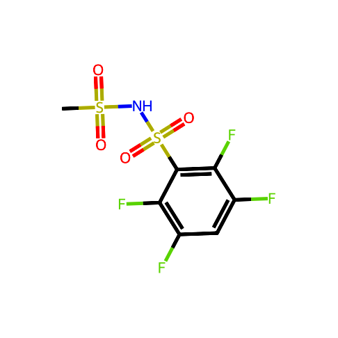 CS(=O)(=O)NS(=O)(=O)c1c(F)c(F)cc(F)c1F